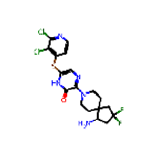 N[C@@H]1CC(F)(F)CC12CCN(c1ncc(Sc3ccnc(Cl)c3Cl)[nH]c1=O)CC2